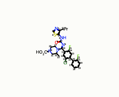 CC(C)c1ncsc1NC(=O)N=C(c1cc(Cl)c(-c2ccccc2F)cc1F)N1CCN(C(=O)O)CC1C